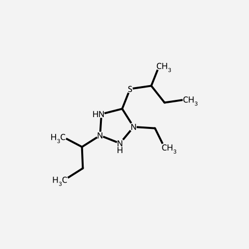 CCC(C)SC1NN(C(C)CC)NN1CC